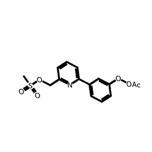 CC(=O)OOc1cccc(-c2cccc(COS(C)(=O)=O)n2)c1